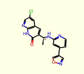 C[C@H](Nc1cc(-c2cnoc2)ccn1)c1cc2cc(Cl)cnc2[nH]c1=O